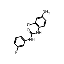 Nc1ccc(NC(=O)Nc2cccc(F)c2)c(Cl)c1